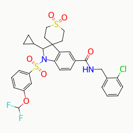 O=C(NCc1ccccc1Cl)c1ccc2c(c1)C1(CCS(=O)(=O)CC1)C(C1CC1)N2S(=O)(=O)c1cccc(OC(F)F)c1